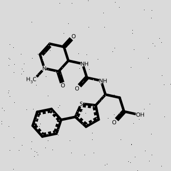 CN1C=CC(=O)C(NC(=O)NC(CC(=O)O)c2ccc(-c3ccccc3)s2)C1=O